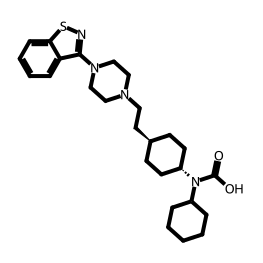 O=C(O)N(C1CCCCC1)[C@H]1CC[C@H](CCN2CCN(c3nsc4ccccc34)CC2)CC1